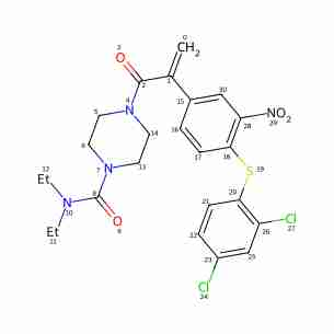 C=C(C(=O)N1CCN(C(=O)N(CC)CC)CC1)c1ccc(Sc2ccc(Cl)cc2Cl)c([N+](=O)[O-])c1